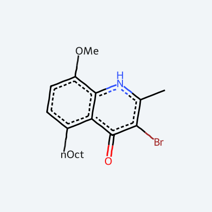 CCCCCCCCc1ccc(OC)c2[nH]c(C)c(Br)c(=O)c12